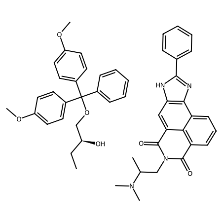 CC(CN1C(=O)c2cccc3c2c(cc2[nH]c(-c4ccccc4)nc23)C1=O)N(C)C.CC[C@H](O)COC(c1ccccc1)(c1ccc(OC)cc1)c1ccc(OC)cc1